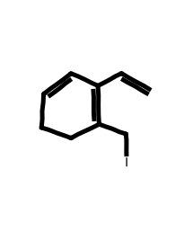 C=CC1=C(CI)CCC=C1